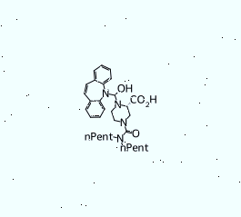 CCCCCN(CCCCC)C(=O)N1CCN(C(O)N2c3ccccc3C=Cc3ccccc32)[C@H](C(=O)O)C1